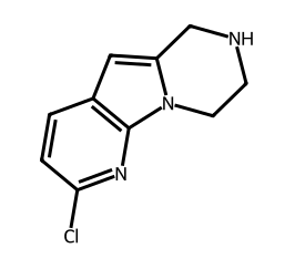 Clc1ccc2cc3n(c2n1)CCNC3